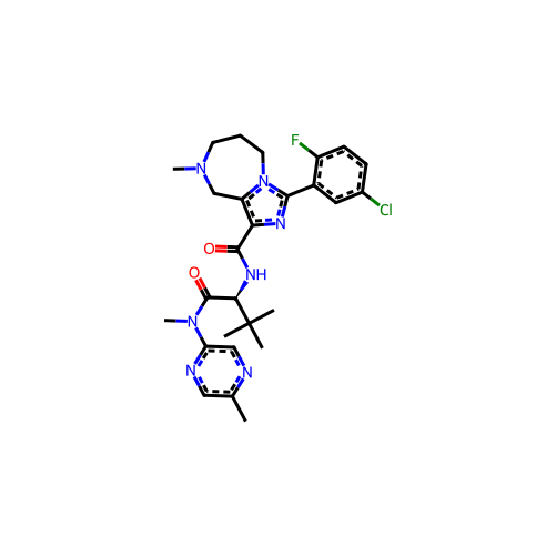 Cc1cnc(N(C)C(=O)[C@@H](NC(=O)c2nc(-c3cc(Cl)ccc3F)n3c2CN(C)CCC3)C(C)(C)C)cn1